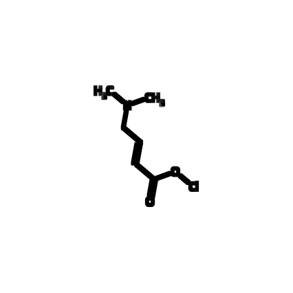 CN(C)C/C=C/C(=O)OCl